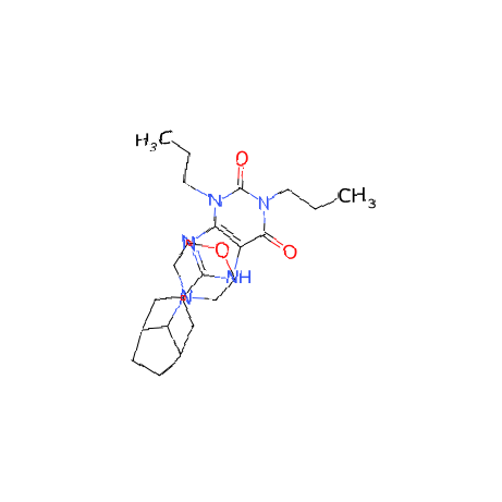 CCCn1c(=O)c2[nH]c(C3CC4CCC(C3)C4N3CCOCC3)nc2n(CCC)c1=O